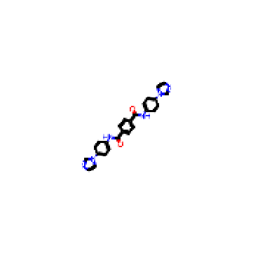 O=C(Nc1ccc(-n2ccnc2)cc1)c1ccc(C(=O)Nc2ccc(-n3ccnc3)cc2)cc1